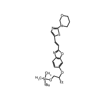 CCC(CO[Si](C)(C)C(C)(C)C)Oc1ccc2nc(/C=C/c3cnc(N4CCCOC4)s3)oc2c1